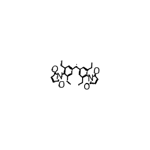 CCc1cc([CH]c2cc(CC)c(N3C(=O)C=CC3=O)c(CC)c2)cc(CC)c1N1C(=O)C=CC1=O